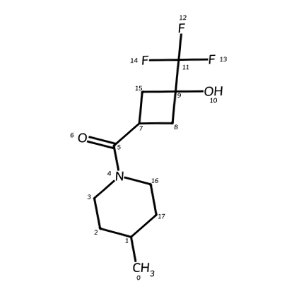 CC1CCN(C(=O)C2CC(O)(C(F)(F)F)C2)CC1